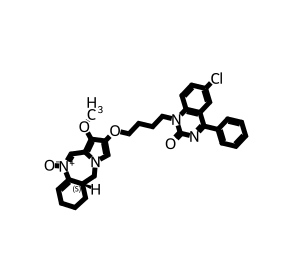 COc1c(OCCCCn2c(=O)nc(-c3ccccc3)c3cc(Cl)ccc32)cn2c1C=[N+]([O-])C1=CCCC[C@H]1C2